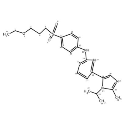 CCOCCCS(=O)(=O)c1ccc(Nc2nccc(-c3cnc(C)n3C(C)C)n2)cc1